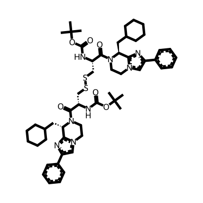 CC(C)(C)OC(=O)N[C@@H](CSSC[C@H](NC(=O)OC(C)(C)C)C(=O)N1CCn2cc(-c3ccccc3)nc2[C@@H]1CC1CCCCC1)C(=O)N1CCn2cc(-c3ccccc3)nc2[C@@H]1CC1CCCCC1